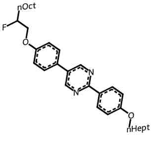 CCCCCCCCC(F)COc1ccc(-c2cnc(-c3ccc(OCCCCCCC)cc3)nc2)cc1